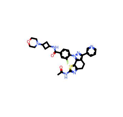 CC(=O)Nc1nc2c(s1)-c1c(c(-c3cccnc3)nn1-c1ccc(C(=O)NC3CC(N4CCOCC4)C3)cc1F)CC2